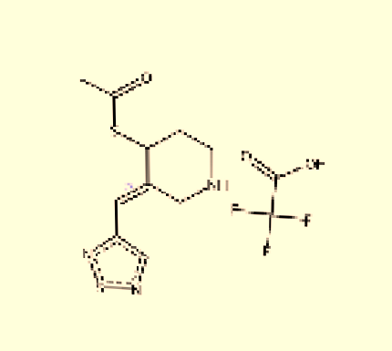 CC(=O)SC1CCNC/C1=C\c1cnsn1.O=C(O)C(F)(F)F